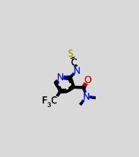 CN(C)C(=O)c1cc(C(F)(F)F)cnc1N=C=S